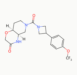 O=C1CO[C@H]2CCN(C(=O)N3CC(c4ccc(OC(F)(F)F)cc4)C3)C[C@H]2N1